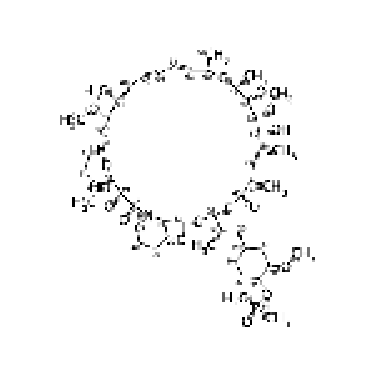 CO[C@H]1C[C@@H]2CC[C@@H](C)[C@@](O)(O2)C(=O)C(=O)N2CCCCC2C(=O)OC([C@H](C)C[C@@H]2CC[C@@H](OP(C)(C)=O)[C@H](OC)C2)CC(=O)[C@H](C)/C=C(\C)[C@@H](O)[C@@H](OC)C(=O)[C@H](C)C[C@H](C)/C=C/C=C/C=C\1C